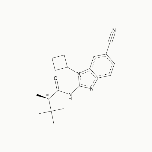 C[C@@H](C(=O)Nc1nc2ccc(C#N)cc2n1C1CCC1)C(C)(C)C